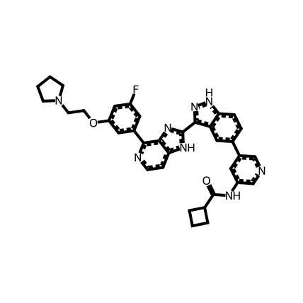 O=C(Nc1cncc(-c2ccc3[nH]nc(-c4nc5c(-c6cc(F)cc(OCCN7CCCC7)c6)nccc5[nH]4)c3c2)c1)C1CCC1